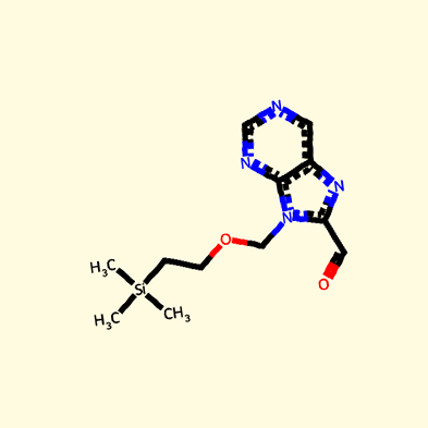 C[Si](C)(C)CCOCn1c(C=O)nc2cncnc21